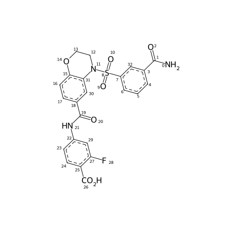 NC(=O)c1cccc(S(=O)(=O)N2CCOc3ccc(C(=O)Nc4ccc(C(=O)O)c(F)c4)cc32)c1